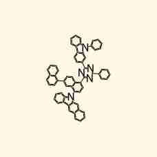 c1ccc(-c2nc(-c3ccc4c5ccccc5n(-c5ccccc5)c4c3)nc(-c3ccc(-n4c5ccccc5c5cc6ccccc6cc54)c4cc(-c5cccc6ccccc56)ccc34)n2)cc1